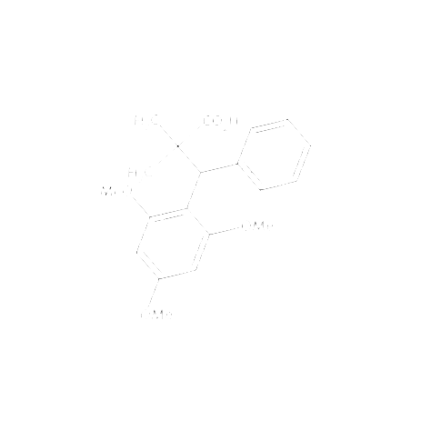 COc1cc(OC)c(C(c2ccccc2)C(C)(C)C(=O)O)c(OC)c1